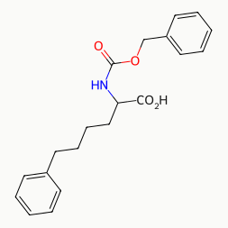 O=C(NC(CCCCc1ccccc1)C(=O)O)OCc1ccccc1